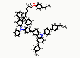 C=Cc1ccc(OCC(C)CCC(C)CC2(c3ccccc3)c3ccccc3-c3ccc(N(c4ccccc4)c4ccc(-c5ccc6c(c5)c5cc(-c7ccc(C(C)(C)C)cc7)ccc5n6-c5ccc(-c6ccc(C=C)cc6)cc5)cc4)cc32)cc1